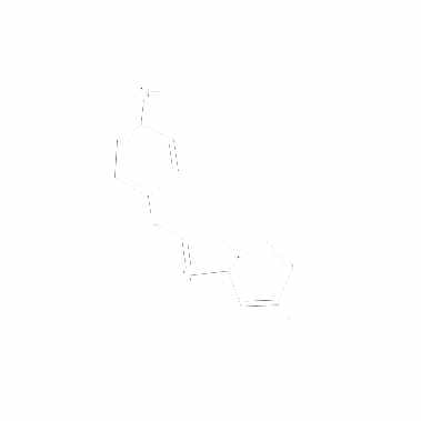 Nc1ccc(Sc2nc3cc(Cl)ccc3s2)cc1